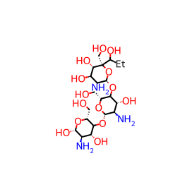 CCC(O)[C@@]1(CO)O[C@H](OC2[C@@H](CO)O[C@@H](OC3[C@@H](CO)O[C@@H](O)[C@H](N)[C@H]3O)[C@H](N)[C@H]2O)[C@H](N)[C@@H](O)[C@@H]1O